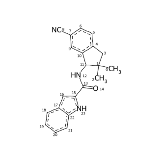 CC1(C)Cc2ccc(C#N)cc2C1NC(=O)c1cc2ccccc2[nH]1